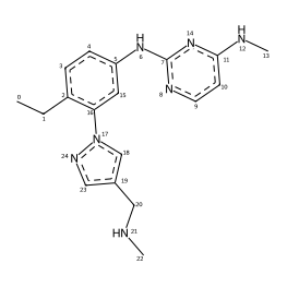 CCc1ccc(Nc2nccc(NC)n2)cc1-n1cc(CNC)cn1